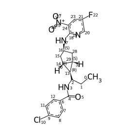 CCC(NC(=O)c1ccc(Cl)cc1)[C@H]1[C@@H]2C[C@@H](Nc3ncc(F)cc3[N+](=O)[O-])C[C@@H]21